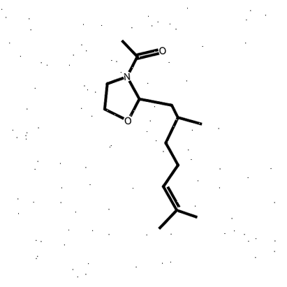 CC(=O)N1CCOC1CC(C)CCC=C(C)C